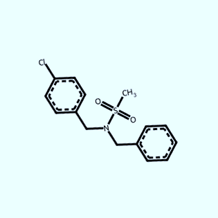 CS(=O)(=O)N(Cc1ccccc1)Cc1ccc(Cl)cc1